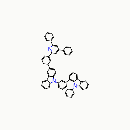 C1=CC(c2cc(-c3ccccc3)cc(-c3ccccc3)n2)=CC(c2ccc3c(c2)c2ccccc2n3-c2cccc(-c3cccc4c5ccccc5n(-c5ccccc5)c34)c2)C1